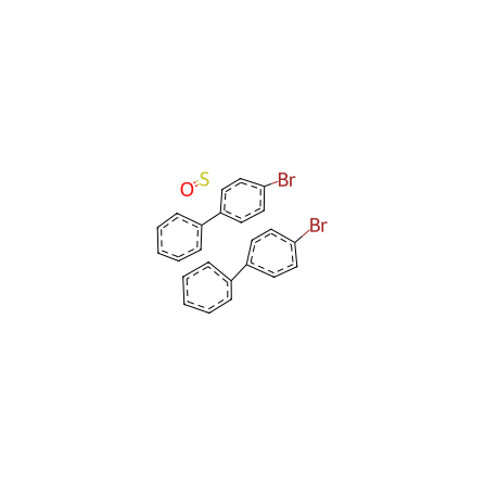 Brc1ccc(-c2ccccc2)cc1.Brc1ccc(-c2ccccc2)cc1.O=S